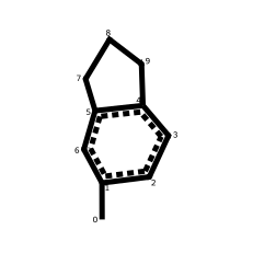 Cc1ccc2c(c1)CC[CH]2